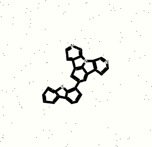 c1ccc2c(c1)sc1c(-c3cc4c5ccncc5n5c6cnccc6c(c3)c45)cccc12